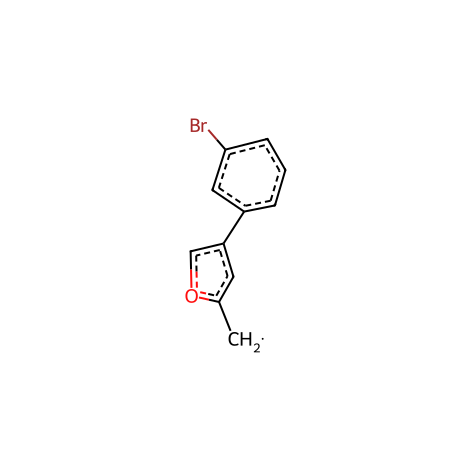 [CH2]c1cc(-c2cccc(Br)c2)co1